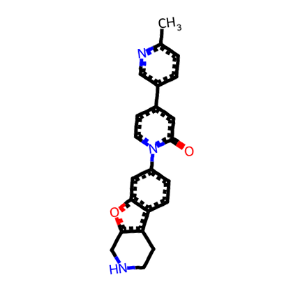 Cc1ccc(-c2ccn(-c3ccc4c5c(oc4c3)CNCC5)c(=O)c2)cn1